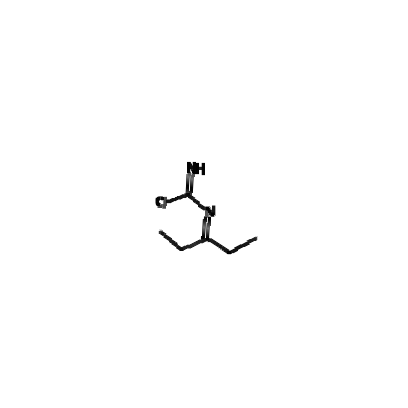 CCC(CC)=NC(=N)Cl